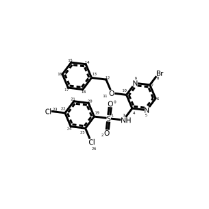 O=S(=O)(Nc1ncc(Br)nc1OCc1ccccc1)c1ccc(Cl)cc1Cl